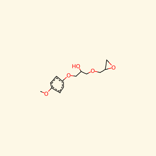 COc1ccc(OCC(O)COCC2CO2)cc1